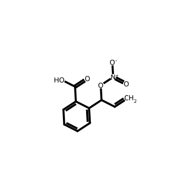 C=CC(O[N+](=O)[O-])c1ccccc1C(=O)O